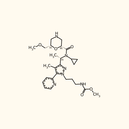 COC[C@@H]1CNC[C@H](C(=O)N(C2CC2)[C@@H](C)c2nn(CCCNC(=O)OC)c(-c3ccccn3)c2C)O1